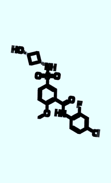 COc1ccc(S(=O)(=O)N[C@H]2C[C@@H](O)C2)cc1C(=O)Nc1ccc(Cl)cc1F